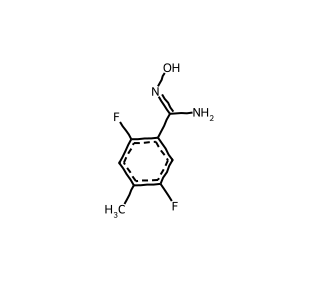 Cc1cc(F)c(/C(N)=N/O)cc1F